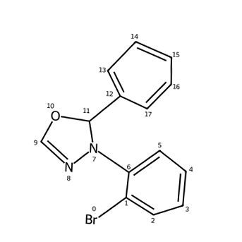 Brc1ccccc1N1N=COC1c1ccccc1